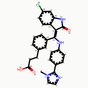 Cn1ccnc1-c1ccc(N/C(=C2\C(=O)Nc3cc(Cl)ccc32)c2cccc(CCC(=O)O)c2)cc1